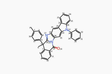 Cc1ccc(C2(C)c3ccccc3C(=O)n3c2nc2cc4c5ccccc5n(-c5ccccc5)c4cc23)cc1